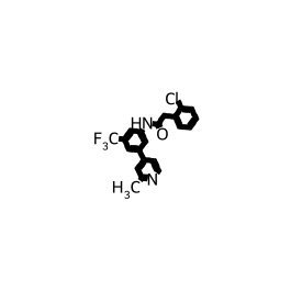 Cc1cc(-c2cc(NC(=O)Cc3ccccc3Cl)cc(C(F)(F)F)c2)ccn1